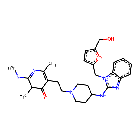 CCCNC1=NC(C)=C(CCN2CCC(Nc3nc4ccccc4n3Cc3ccc(CO)o3)CC2)C(=O)C1C